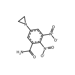 NC(=O)c1cc(N2CC2)cc([N+](=O)[O-])c1[N+](=O)[O-]